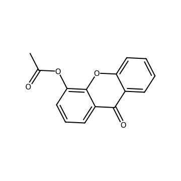 CC(=O)Oc1cccc2c(=O)c3ccccc3oc12